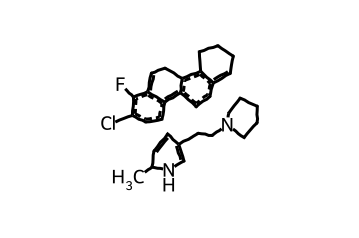 CC1C=CC(CCN2CCCCC2)=CN1.Fc1c(Cl)ccc2c1=CCc1c3c(ccc1=2)=CCCC3